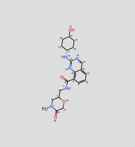 CCN1CC(CNC(=O)c2cccc3cnc(N[C@H]4CC[C@H](O)CC4)nc23)OCC1=O